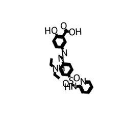 CCNCC.O=C(O)c1cc(N=Nc2ccc(S(=O)(=O)Nc3ccccn3)cc2)ccc1O